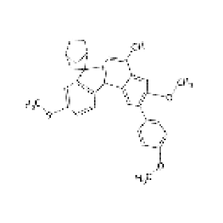 COc1ccc(-c2cc3c4c(cc(O)c3cc2OC)C2(CC3CCC2C3)c2cc(SC)ccc2-4)cc1